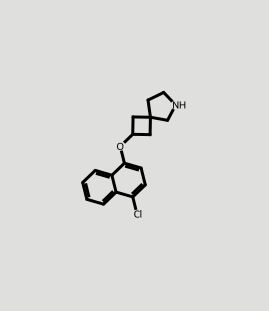 Clc1ccc(OC2CC3(CCNC3)C2)c2ccccc12